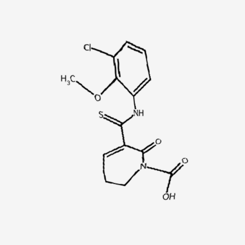 COc1c(Cl)cccc1NC(=S)C1=CCCN(C(=O)O)C1=O